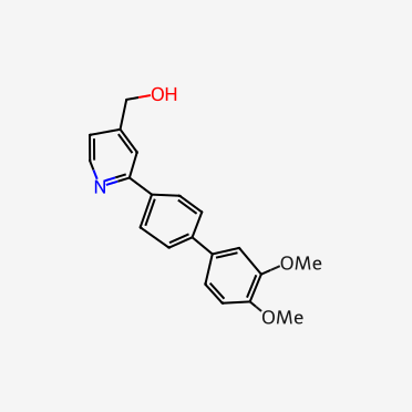 COc1ccc(-c2ccc(-c3cc(CO)ccn3)cc2)cc1OC